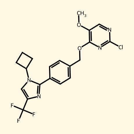 COc1cnc(Cl)nc1OCc1ccc(-c2nc(C(F)(F)F)cn2C2CCC2)cc1